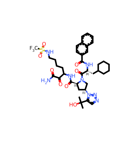 CC(C)(O)c1cnnn1[C@H]1C[C@@H](C(=O)NC(CCCCNS(=O)(=O)C(F)(F)F)C(=O)C(N)=O)N(C(=O)[C@@H](CC2CCCCC2)NC(=O)c2ccc3ccccc3c2)C1